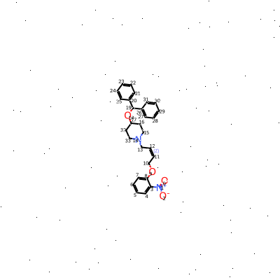 O=[N+]([O-])c1ccccc1OC/C=C\CN1CCC(OC(c2ccccc2)c2ccccc2)CC1